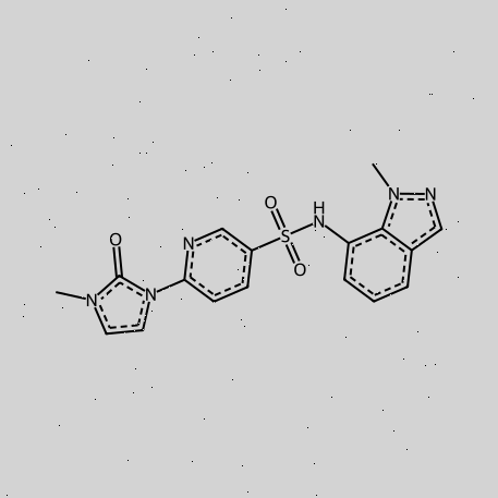 Cn1ccn(-c2ccc(S(=O)(=O)Nc3cccc4cnn(C)c34)cn2)c1=O